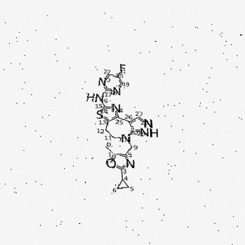 Cc1oc(C2CC2)nc1CN1CCc2sc(Nc3ncc(F)cn3)nc2-c2cn[nH]c21